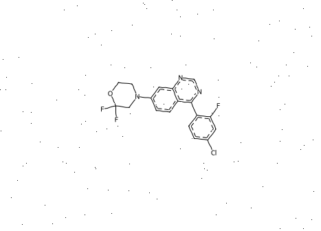 Fc1cc(Cl)[c]cc1-c1ncnc2cc(N3CCOC(F)(F)C3)ccc12